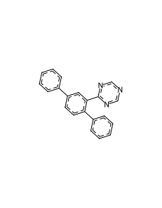 c1ccc(-c2ccc(-c3ccccc3)c(-c3ncncn3)c2)cc1